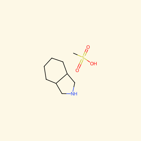 C1CCC2CNCC2C1.CS(=O)(=O)O